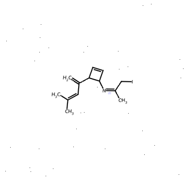 C=C(C=C(C)C)C1C=CC1/N=C(/C)CI